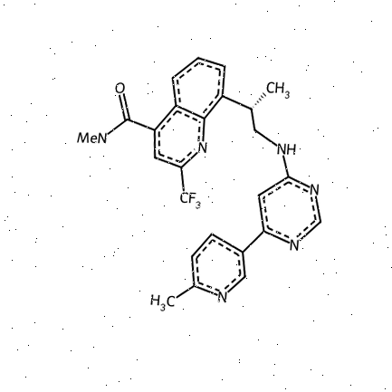 CNC(=O)c1cc(C(F)(F)F)nc2c([C@H](C)CNc3cc(-c4ccc(C)nc4)ncn3)cccc12